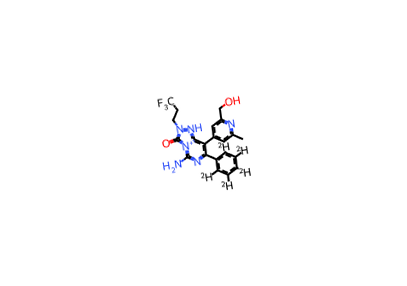 [2H]c1c([2H])c([2H])c(-c2nc(N)[n+]3c(=O)n(CCC(F)(F)F)[nH]c3c2-c2cc(C)nc(CO)c2)c([2H])c1[2H]